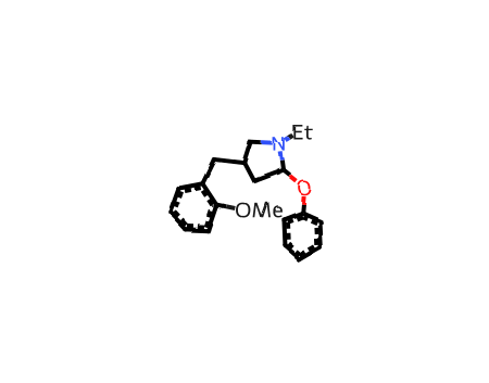 CCN1CC(Cc2ccccc2OC)CC1Oc1ccccc1